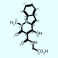 Cn1c(=O)c(C(=O)NCC(=O)O)c(O)c2cc3ccccc3n21